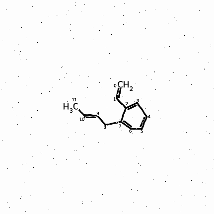 C=Cc1ccccc1CC=CC